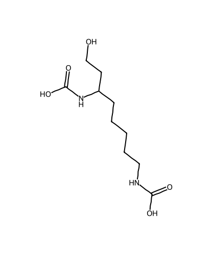 O=C(O)NCCCCCC(CCO)NC(=O)O